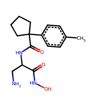 Cc1ccc(C2(C(=O)NC(CN)C(=O)NO)CCCC2)cc1